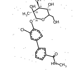 CNC(=O)c1cccc(-c2ccc(O[C@H]3OC(CO)[C@@H](O)[C@H](O)[C@]3(C)O)c(Cl)c2)c1